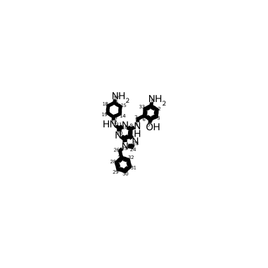 Nc1ccc(O)c(CNc2nc(NC3CCC(N)CC3)nc3c2ncn3Cc2ccccc2)c1